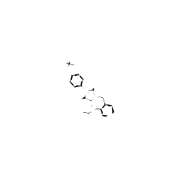 CCNc1cnccc1CN1CC(=O)N(c2ccc(OC(F)(F)F)cc2)C1=O